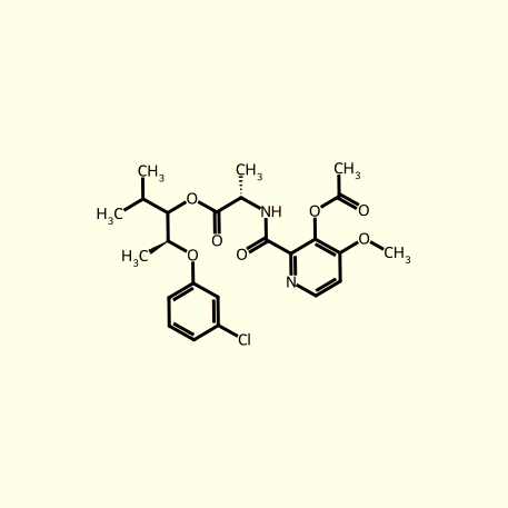 COc1ccnc(C(=O)N[C@@H](C)C(=O)OC(C(C)C)[C@H](C)Oc2cccc(Cl)c2)c1OC(C)=O